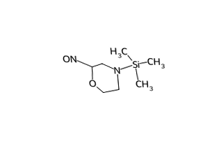 C[Si](C)(C)N1CCOC(N=O)C1